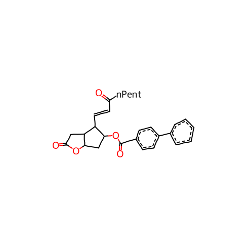 CCCCCC(=O)C=CC1C(OC(=O)c2ccc(-c3ccccc3)cc2)CC2OC(=O)CC21